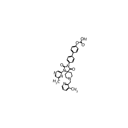 Cc1cncc(N2C(=O)N(c3ccc(-c4ccc(OC(=O)O)cc4)cc3)C(=O)C23CCN(Cc2ncccc2C)CC3)n1